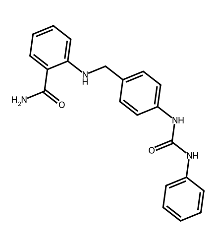 NC(=O)c1ccccc1NCc1ccc(NC(=O)Nc2ccccc2)cc1